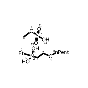 CCCCCOCC[N+](O)(O)CC.COS(=O)(=O)O